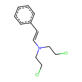 ClCCN(C=Cc1ccccc1)CCCl